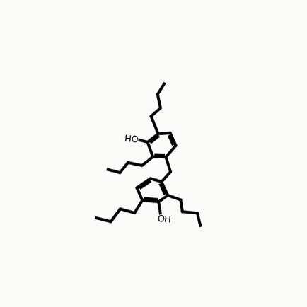 CCCCc1ccc(Cc2ccc(CCCC)c(O)c2CCCC)c(CCCC)c1O